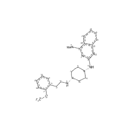 CNc1nc(N[C@H]2CC[C@@H](NCCc3ccccc3OC(F)(F)F)CC2)nc2ccccc12